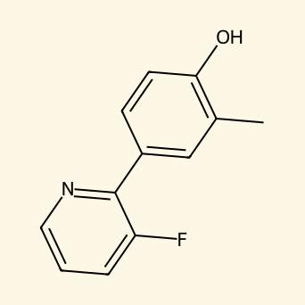 Cc1cc(-c2ncccc2F)ccc1O